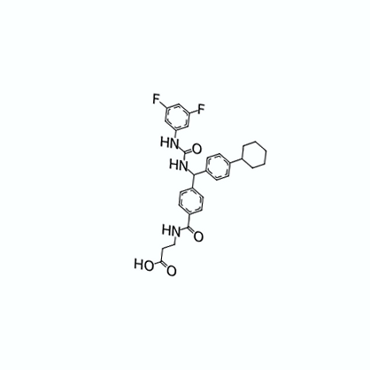 O=C(O)CCNC(=O)c1ccc(C(NC(=O)Nc2cc(F)cc(F)c2)c2ccc(C3CCCCC3)cc2)cc1